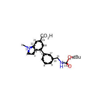 Cn1ccc2c(-c3cccc(CNC(=O)OC(C)(C)C)c3)cc(C(=O)O)cc21